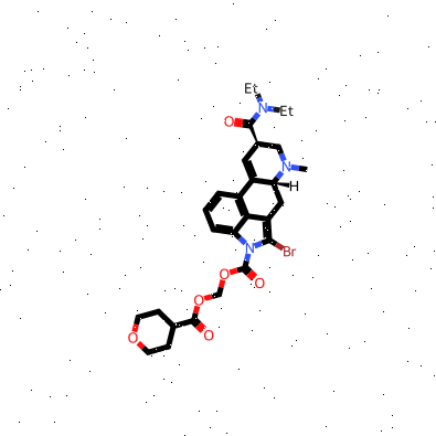 CCN(CC)C(=O)[C@@H]1C=C2c3cccc4c3c(c(Br)n4C(=O)OCOC(=O)C3CCOCC3)C[C@H]2N(C)C1